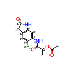 CC(=O)OC(C)C(=O)Nc1cc2c(cc1F)CC(=O)N2